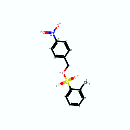 Cc1ccccc1S(=O)(=O)OCc1ccc([N+](=O)[O-])cc1